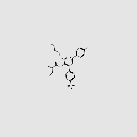 CCCCOc1nc(-c2ccc(F)cc2)cc(-c2ccc(S(N)(=O)=O)cc2)c1OC(=O)C(C)CC